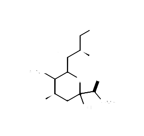 COC(=O)C1(O)C[C@@H](O)C(NC(C)=O)C([C@H](O)[C@H](O)CO)O1